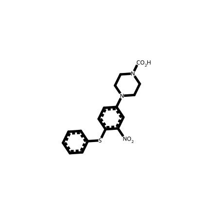 O=C(O)N1CCN(c2ccc(Sc3ccccc3)c([N+](=O)[O-])c2)CC1